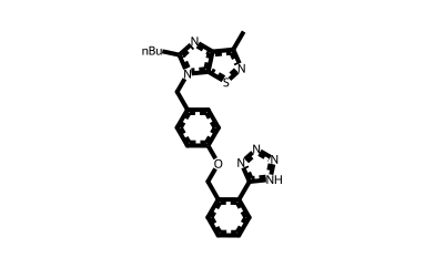 CCCCc1nc2c(C)nsc2n1Cc1ccc(OCc2ccccc2-c2nnn[nH]2)cc1